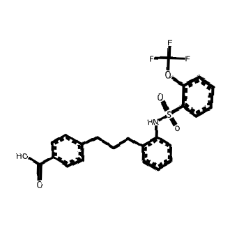 O=C(O)c1ccc(CCCc2ccccc2NS(=O)(=O)c2ccccc2OC(F)(F)F)cc1